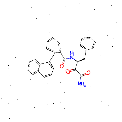 NC(=O)C(=O)[C@H](Cc1ccccc1)NC(=O)c1ccccc1-c1cccc2ccccc12